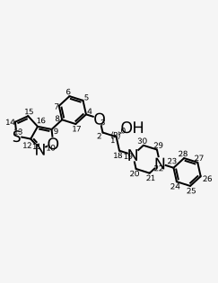 O[C@@H](COc1cccc(-c2onc3sccc23)c1)CN1CCN(c2ccccc2)CC1